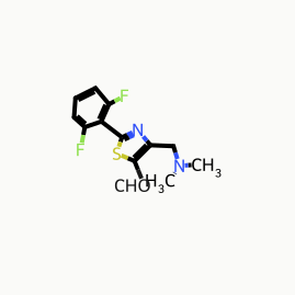 CN(C)Cc1nc(-c2c(F)cccc2F)sc1C=O